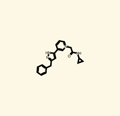 O=C(C[n+]1cccc(-c2cc(Cc3ccccc3)n[nH]2)c1)NC1CC1